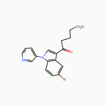 CCOC(=O)CCCC(=O)c1cn(-c2cccnc2)c2ccc(Br)cc12